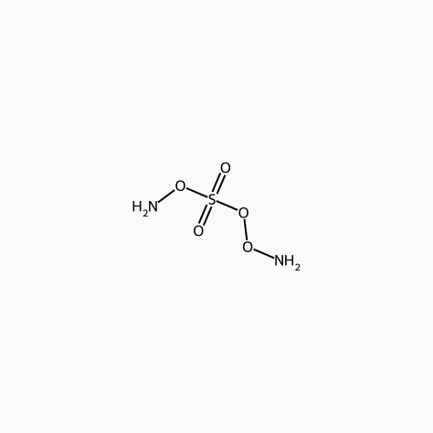 NOOS(=O)(=O)ON